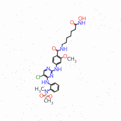 COc1cc(Nc2ncc(Cl)c(Nc3ccccc3N(C)S(C)(=O)=O)n2)ccc1C(=O)NCCCCCCC(=O)NO